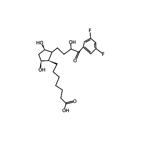 O=C(O)CCCCCC[C@@H]1C(CCC(O)C(=O)c2cc(F)cc(F)c2)[C@H](O)C[C@@H]1O